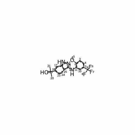 COc1ccc(C(F)(F)F)cc1Nc1n[nH]c2cc(C(C)(C)O)ccc12